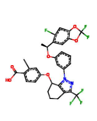 Cc1cc(OC2CCCc3c(C(F)(F)F)nn(-c4cccc(O[C@@H](C)c5cc6c(cc5F)OC(F)(F)O6)c4)c32)ccc1C(=O)O